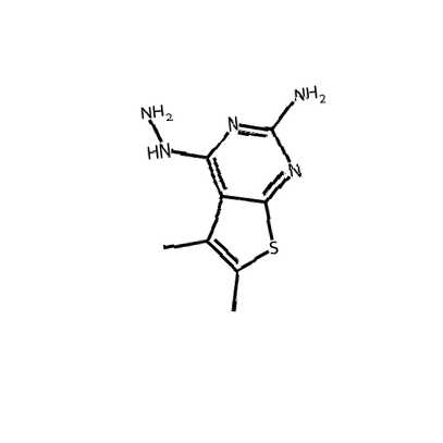 Cc1sc2nc(N)nc(NN)c2c1C